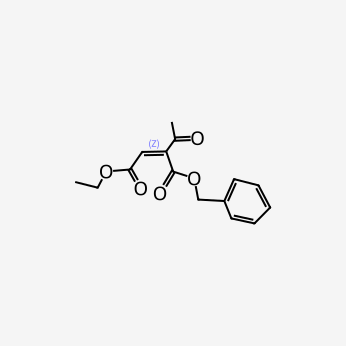 CCOC(=O)/C=C(/C(C)=O)C(=O)OCc1ccccc1